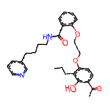 CCCc1c(OCCOc2ccccc2C(=O)NCCCCc2cccnc2)ccc(C(C)=O)c1O